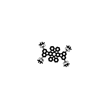 CC1(C)OB(c2cc3c4c(cc(B5OC(C)(C)C(C)(C)O5)cc4c2)-c2cc4c(cc2-3)C(c2ccccc2)(c2ccccc2)c2cc3c(cc2C4(c2ccccc2)c2ccccc2)-c2cc(B4OC(C)(C)C(C)(C)O4)cc4cc(B5OC(C)(C)C(C)(C)O5)cc-3c24)OC1(C)C